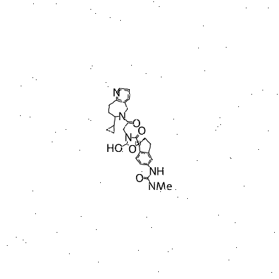 CNC(=O)Nc1ccc2c(c1)CC[C@]21OC(O)N(CC(=O)N2Cc3cccnc3CCC2C2CC2)C1=O